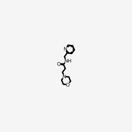 O=C(CCN1CCOCC1)NCc1ccccn1